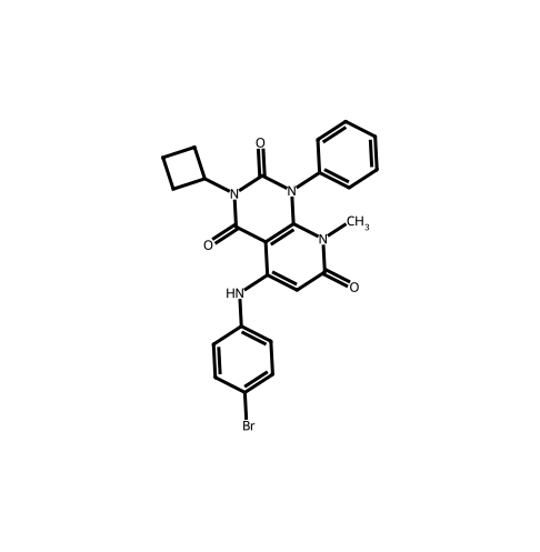 Cn1c(=O)cc(Nc2ccc(Br)cc2)c2c(=O)n(C3CCC3)c(=O)n(-c3ccccc3)c21